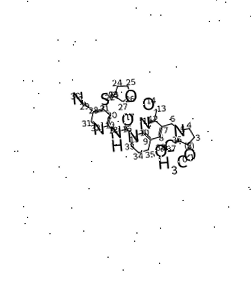 CO[C@H]1CCN(Cc2cc3c(nc2C=O)N(C(=O)Nc2cc(S[C@@H]4CCOC4)c(C#N)cn2)CCC3)C1=C=O